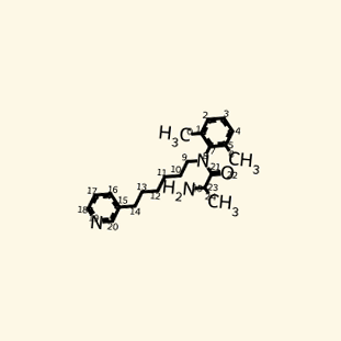 Cc1cccc(C)c1N(CCCCCCc1cccnc1)C(=O)C(C)N